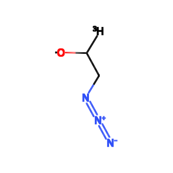 [3H]C([O])CN=[N+]=[N-]